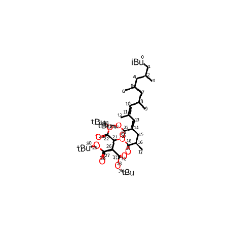 CCC(C)CC(C)CC(C)CC(C)C=C(C)C=C(CC(C)C(=O)OC(C(=O)OC(C)(C)C)C(C(=O)OC(C)(C)C)C(=O)OC(C)(C)C)C(=O)OC(C)(C)C